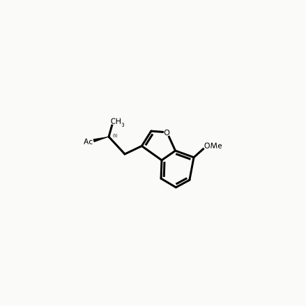 COc1cccc2c(C[C@H](C)C(C)=O)coc12